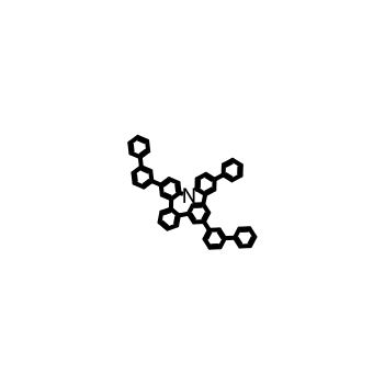 c1ccc(-c2cccc(-c3ccc4c(c3)-c3ccccc3-c3cc(-c5cccc(-c6ccccc6)c5)cc5c6cc(-c7ccccc7)ccc6n-4c35)c2)cc1